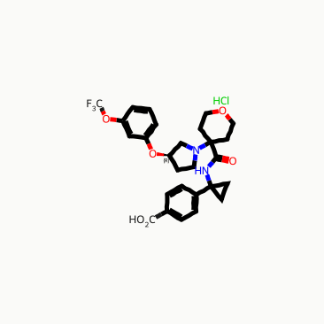 Cl.O=C(O)c1ccc(C2(NC(=O)C3(N4CC[C@@H](Oc5cccc(OC(F)(F)F)c5)C4)CCOCC3)CC2)cc1